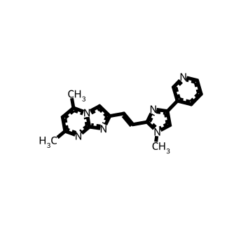 Cc1cc(C)n2cc(C=Cc3nc(-c4cccnc4)cn3C)nc2n1